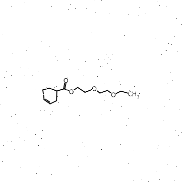 CCOCCOCCOC(=O)C1CC=CCC1